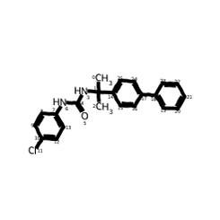 CC(C)(NC(=O)Nc1ccc(Cl)cc1)c1ccc(-c2ccccc2)cc1